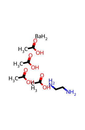 CC(=O)O.CC(=O)O.CC(=O)O.CC(=O)O.NCCN.[BaH2]